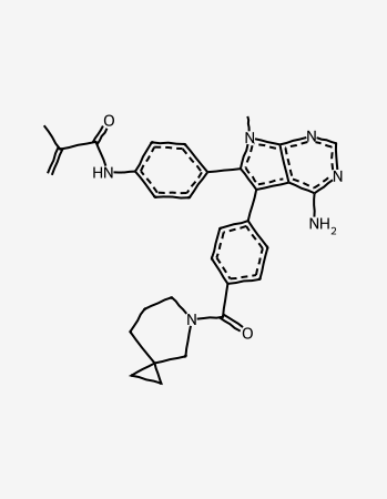 C=C(C)C(=O)Nc1ccc(-c2c(-c3ccc(C(=O)N4CCCC5(CC5)C4)cc3)c3c(N)ncnc3n2C)cc1